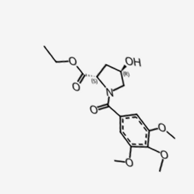 CCOC(=O)[C@@H]1C[C@@H](O)CN1C(=O)c1cc(OC)c(OC)c(OC)c1